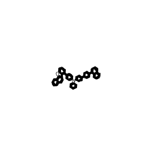 c1ccc(N(c2ccc(-c3ccc(-c4cccc5ccccc45)cc3)cc2)c2ccc(-c3cccc4oc5c6ccccc6ccc5c34)cc2)cc1